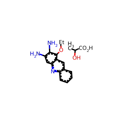 CC(O)C(=O)O.CCOc1c(N)c(N)cc2nc3ccccc3cc12